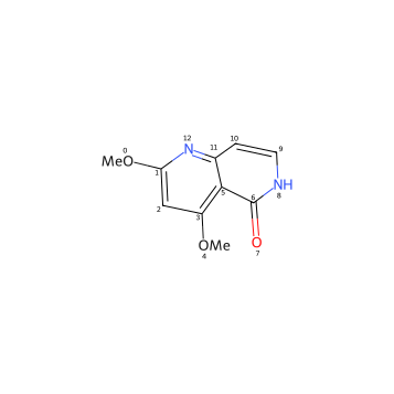 COc1cc(OC)c2c(=O)[nH]ccc2n1